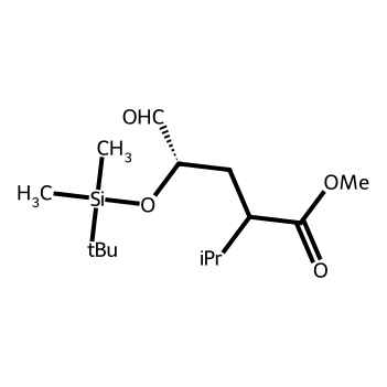 COC(=O)C(C[C@@H](C=O)O[Si](C)(C)C(C)(C)C)C(C)C